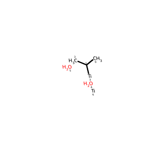 C[CH](C)[Ti].O.O.[Ti]